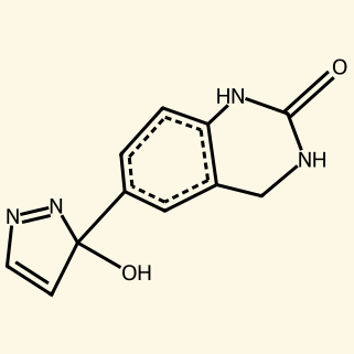 O=C1NCc2cc(C3(O)C=CN=N3)ccc2N1